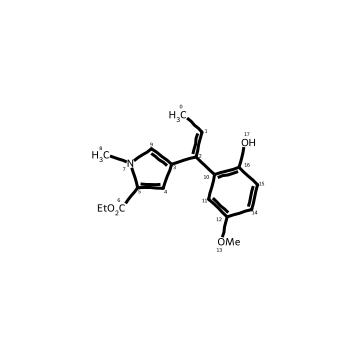 C/C=C(\c1cc(C(=O)OCC)n(C)c1)c1cc(OC)ccc1O